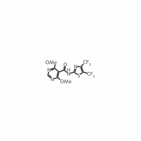 COc1ncnc(OC)c1C(=O)Nc1nc(C(F)(F)F)c(C(F)(F)F)s1